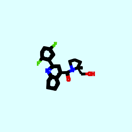 O=C(c1cc(-c2cc(F)ccc2F)nc2ccccc12)N1CCC[C@@H]1CO